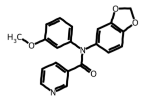 COc1cccc(N(C(=O)c2cccnc2)c2ccc3c(c2)OCO3)c1